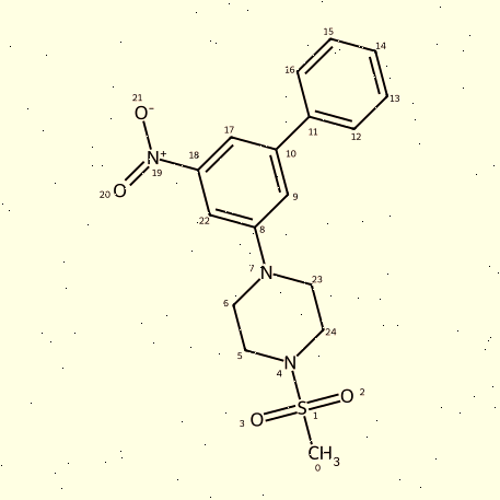 CS(=O)(=O)N1CCN(c2cc(-c3ccccc3)cc([N+](=O)[O-])c2)CC1